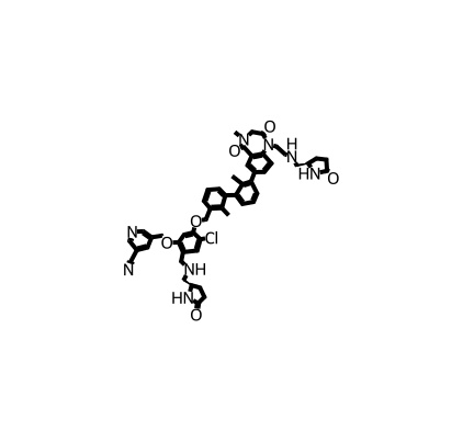 Cc1c(COc2cc(OCc3cncc(C#N)c3)c(CNC[C@H]3CCC(=O)N3)cc2Cl)cccc1-c1cccc(-c2ccc3c(c2)C(=O)N(C)CC(=O)N3CCNC[C@H]2CCC(=O)N2)c1C